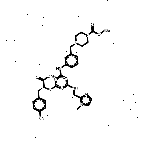 COC(=O)[C@H](Cc1ccc(C#N)cc1)Nc1nc(NCc2nccn2C)nc(Nc2cccc(CN3CCN(C(=O)OC(C)(C)C)CC3)c2)n1